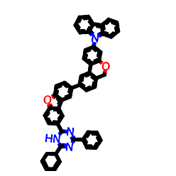 C1=CCC(C2=NC(c3ccccc3)=NC(c3ccc4oc5ccc(-c6ccc7c(c6)-c6ccc(-n8c9ccccc9c9ccccc98)cc6OC7)cc5c4c3)N2)C=C1